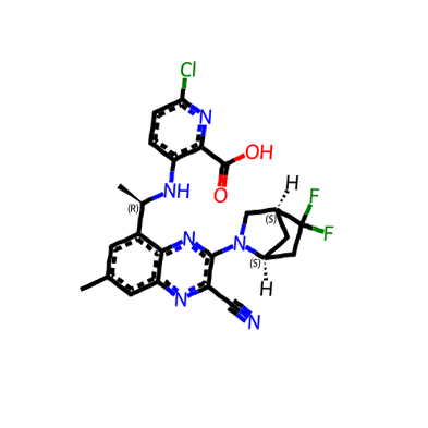 Cc1cc([C@@H](C)Nc2ccc(Cl)nc2C(=O)O)c2nc(N3C[C@@H]4C[C@H]3CC4(F)F)c(C#N)nc2c1